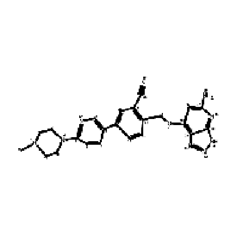 CN1CCN(c2ccc(-c3ccc(COc4cc(N)nc5[nH]nnc45)c(C#N)c3)cn2)CC1